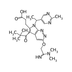 Cc1ncc(C(C)n2c(CCC(=O)O)c(C(=O)C(C)(C)C)c3cc(OCC(=N)N(C)C)nnc32)cn1